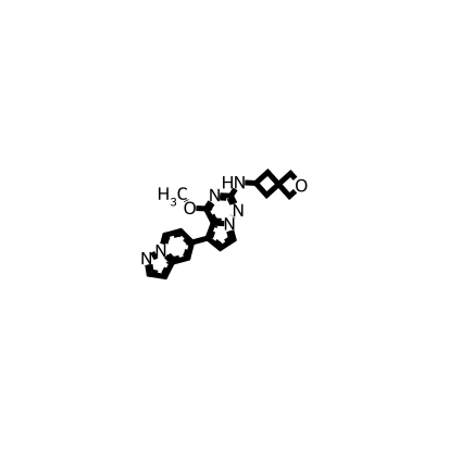 COc1nc(NC2CC3(COC3)C2)nn2ccc(-c3ccn4nccc4c3)c12